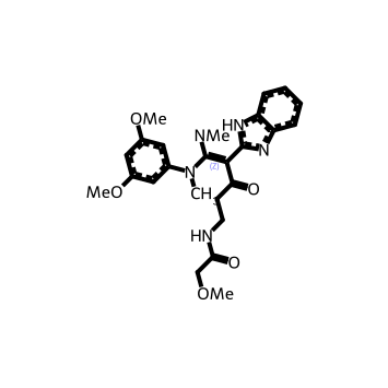 CN/C(=C(/C(=O)CCNC(=O)COC)c1nc2ccccc2[nH]1)N(C)c1cc(OC)cc(OC)c1